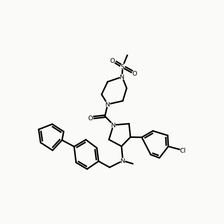 CN(Cc1ccc(-c2ccccc2)cc1)C1CN(C(=O)N2CCN(S(C)(=O)=O)CC2)CC1c1ccc(Cl)cc1